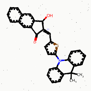 CC1(C)c2ccccc2N(c2ccc(/C=C3\C(=O)c4cc5ccccc5cc4C3O)s2)c2ccccc21